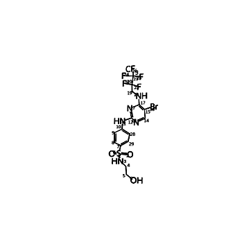 O=S(=O)(NCCO)c1ccc(Nc2ncc(Br)c(NCC(F)(F)C(F)(F)C(F)(F)F)n2)cc1